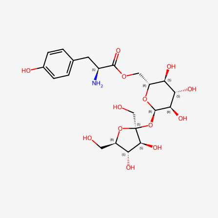 N[C@@H](Cc1ccc(O)cc1)C(=O)OC[C@H]1O[C@H](O[C@]2(CO)O[C@H](CO)[C@@H](O)[C@@H]2O)[C@H](O)[C@@H](O)[C@@H]1O